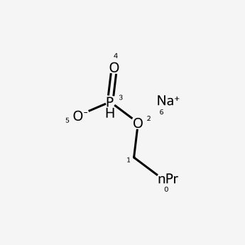 CCCCO[PH](=O)[O-].[Na+]